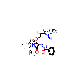 CCOC(=O)C(=[N+]=[N-])C(=O)CO[C@@H]1[C@@H](NC(=O)c2ccccc2)C(=O)N1[Si](C)(C)C(C)(C)C